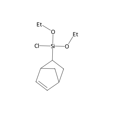 CCO[Si](Cl)(OCC)C1CC2C=CC1C2